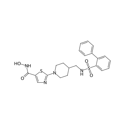 O=C(NO)c1cnc(N2CCC(CNS(=O)(=O)c3ccccc3-c3ccccc3)CC2)s1